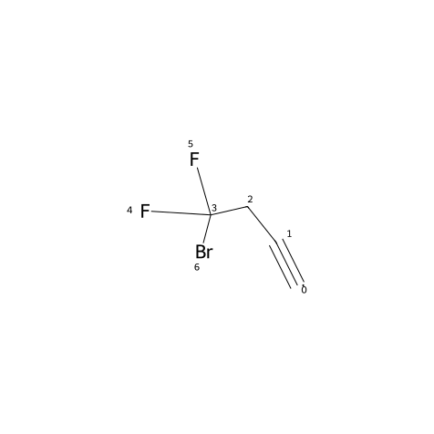 [C]#CCC(F)(F)Br